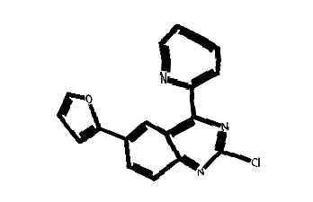 Clc1nc(-c2ccccn2)c2cc(-c3ccco3)ccc2n1